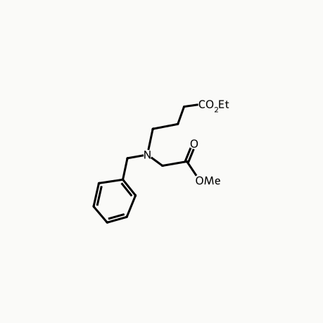 CCOC(=O)CCCN(CC(=O)OC)Cc1ccccc1